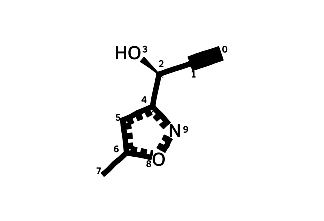 C#C[C@H](O)c1cc(C)on1